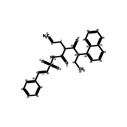 C=CCC(C(=O)NS(=O)(=O)/C=C/c1ccccc1)C(=O)N(CC)c1cccc2ccccc12